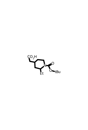 CCC1CC(CC(=O)O)CCN1C(=O)OC(C)(C)C